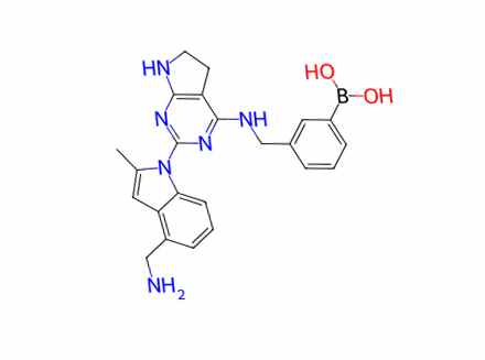 Cc1cc2c(CN)cccc2n1-c1nc2c(c(NCc3cccc(B(O)O)c3)n1)CCN2